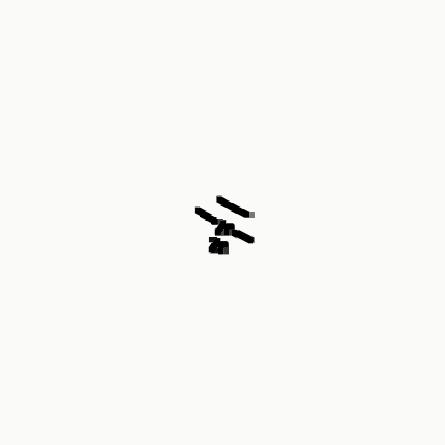 [CH2]C.[CH3][Zn][CH3].[Zn]